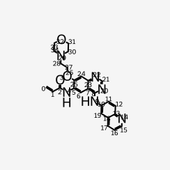 C=CC(=O)Nc1cc2c(Nc3ccc4ncccc4c3)ncnc2cc1OCCN1CCOCC1